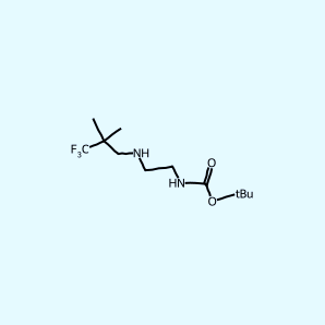 CC(C)(C)OC(=O)NCCNCC(C)(C)C(F)(F)F